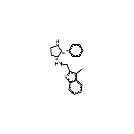 Cc1c(CN[C@@H]2CCN[C@@H]2c2ccccc2)sc2ccccc12